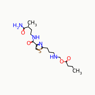 CCCC(=O)OCNCCCc1nc(C(=O)NCC[C@H](C)C(N)=O)cs1